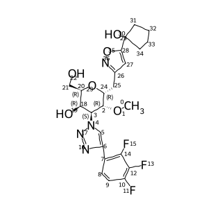 CO[C@@H]1[C@@H](n2cc(-c3ccc(F)c(F)c3F)nn2)[C@@H](O)[C@@H](CO)O[C@@H]1Cc1cc(C2(O)CCCC2)on1